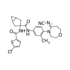 Cc1cc(NC(=O)C2(NC(=O)c3ccc(Cl)s3)CC3CC3C2)ccc1N1CCOCC/C1=N/C#N